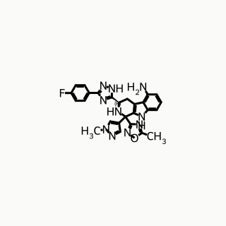 Cc1nc(C2(c3cnn(C)c3)N[C@@H](c3nc(-c4ccc(F)cc4)n[nH]3)Cc3c2[nH]c2cccc(N)c32)no1